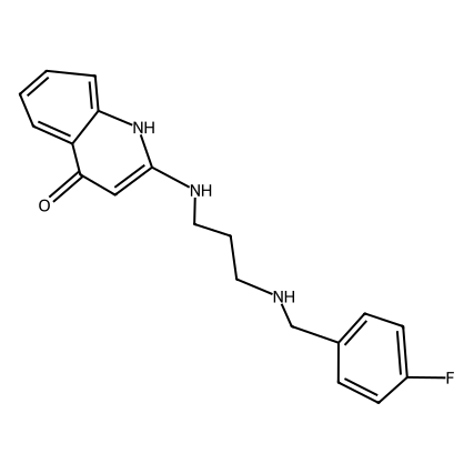 O=c1cc(NCCCNCc2ccc(F)cc2)[nH]c2ccccc12